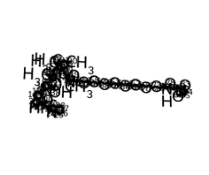 CC1=C(Cn2ncc(-c3ccc(-c4ccc5c(c4)N(C(=O)Nc4nc6ccccc6s4)CCC5)nc3C(=O)O)c2C)CC2(OCCN(C)C(=O)CCOCCOCCOCCOCCOCCOCCOCCOCCNC(=O)CCN3C(=O)C=CC3=O)CC(C)CC1(C)C2